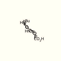 CCCCNN=Cc1ccc(C2CC(CN3CCC(OCC(=O)O)CC3)ON2)cc1